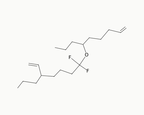 C=CCCCC(CCC)OC(F)(F)CCCC(C=C)CCC